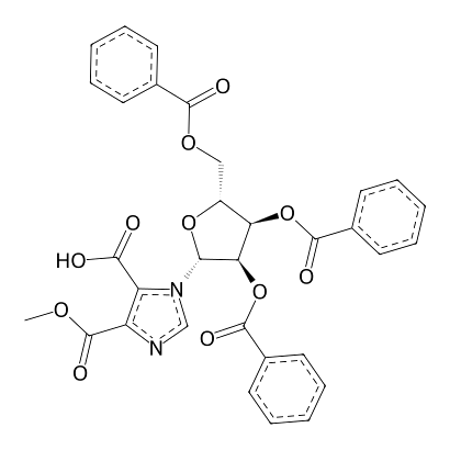 COC(=O)c1ncn([C@@H]2O[C@H](COC(=O)c3ccccc3)[C@@H](OC(=O)c3ccccc3)[C@H]2OC(=O)c2ccccc2)c1C(=O)O